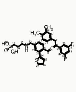 Cc1ccc(CC(=C=Cc2ccc(CNCCCP(=O)(O)O)cc2-c2cccs2)c2cc(F)cc(F)c2)cc1C